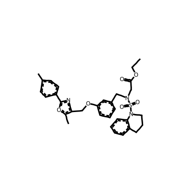 CCOC(=O)CN(Cc1cccc(OCc2nc(-c3ccc(C)cc3)oc2C)c1)S(=O)(=O)N1CCCc2ccccc21